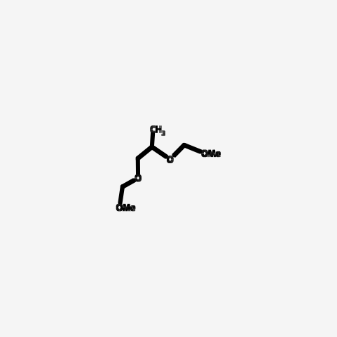 COCOCC(C)OCOC